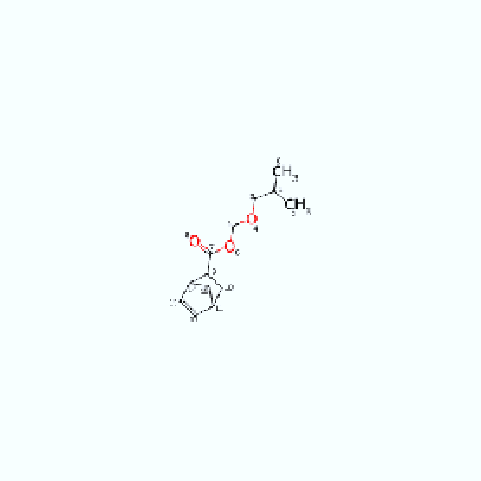 CC(C)COCOC(=O)C1CC2C=CC1C2